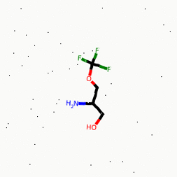 NC(CO)COC(F)(F)F